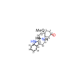 CO[C@]12CCC(=O)C[C@H]1N1CCc3c([nH]c4ccccc34)[C@@H]1CC2